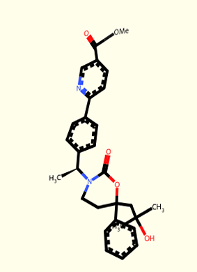 COC(=O)c1ccc(-c2ccc([C@H](C)N3CCC(CC(C)(C)O)(c4ccccc4)OC3=O)cc2)nc1